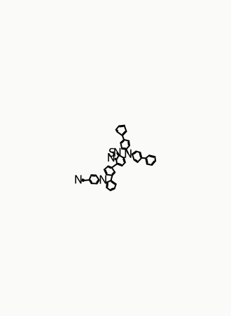 N#Cc1ccc(-n2c3ccccc3c3cc(-c4ccc(N(c5ccc(-c6ccccc6)cc5)c5ccc(-c6ccccc6)cc5)c5nsnc45)ccc32)cc1